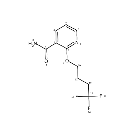 NC(=O)c1cccnc1OCCCC(F)(F)F